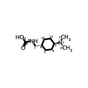 CN(C)[C@H]1CC[C@H](CNC(=O)O)CC1